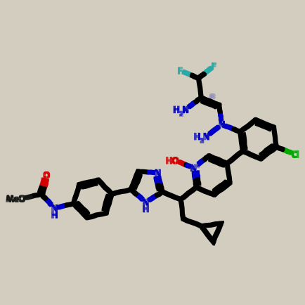 COC(=O)Nc1ccc(-c2cnc(C(CC3CC3)c3ccc(-c4cc(Cl)ccc4N(N)/C=C(\N)C(F)F)c[n+]3O)[nH]2)cc1